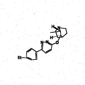 CCc1ccc(-c2ccc(O[C@@H]3C4CCN(CC4)[C@H]3C)nn2)cc1